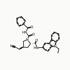 CCn1c2ccccc2c2cc(NC(=O)[C@@H]3CC(=CC#N)CN3C(=O)NC(=O)c3ccccc3)ccc21